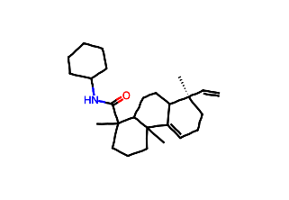 C=C[C@@]1(C)CCC=C2C1CCC1C(C)(C(=O)NC3CCCCC3)CCCC21C